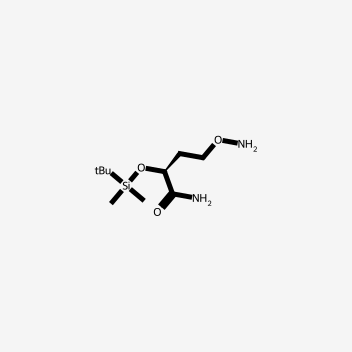 CC(C)(C)[Si](C)(C)O[C@@H](CCON)C(N)=O